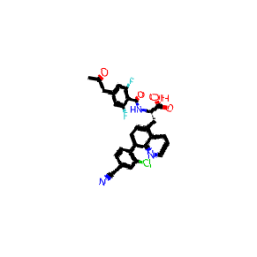 CC(=O)Cc1cc(F)c(C(=O)N[C@@H](Cc2ccc(-c3ccc(C#N)cc3Cl)c3ncccc23)C(=O)O)c(F)c1